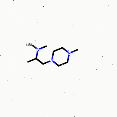 CC(CN1CCN(C)CC1)N(C)C(C)(C)C